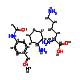 CC(=O)Nc1ccc(C=O)cc1.NC1CCCCC1.NCCCC[C@H](N)C(=O)O.[H+]